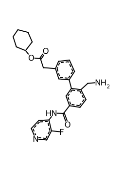 NCc1ccc(C(=O)Nc2ccncc2F)cc1-c1cccc(CC(=O)OC2CCCCC2)c1